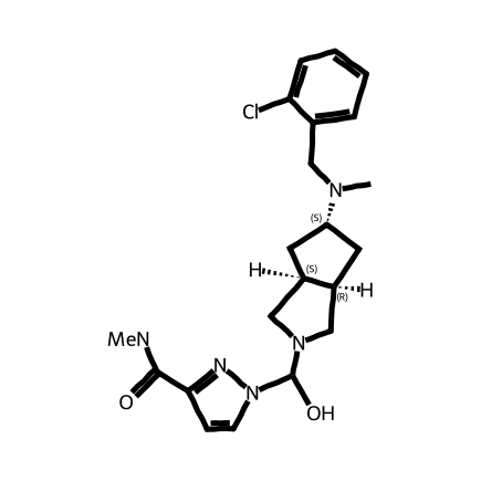 CNC(=O)c1ccn(C(O)N2C[C@H]3C[C@H](N(C)Cc4ccccc4Cl)C[C@H]3C2)n1